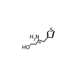 N[C@@H](CCO)Cc1ccsc1